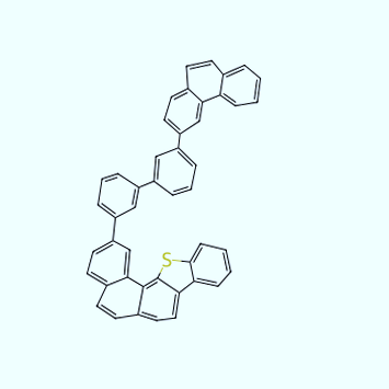 c1cc(-c2cccc(-c3ccc4ccc5ccc6c7ccccc7sc6c5c4c3)c2)cc(-c2ccc3ccc4ccccc4c3c2)c1